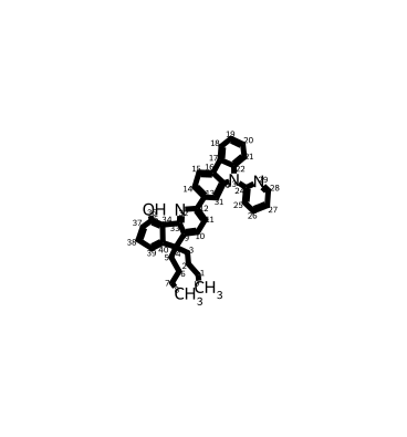 CCCCC1(CCCC)c2ccc(-c3ccc4c5ccccc5n(-c5ccccn5)c4c3)nc2-c2c(O)cccc21